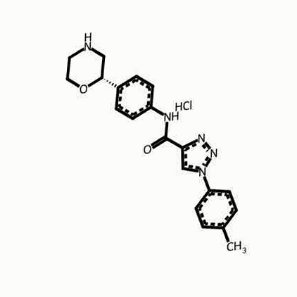 Cc1ccc(-n2cc(C(=O)Nc3ccc([C@H]4CNCCO4)cc3)nn2)cc1.Cl